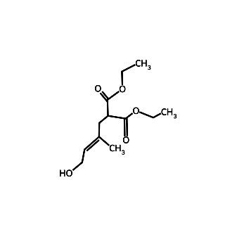 CCOC(=O)C(C/C(C)=C/CO)C(=O)OCC